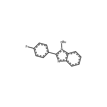 CCCCn1c(-c2ccc(F)cc2)nc2ccccc21